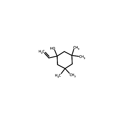 C=CC1(O)CC(C)(C)CC(C)(C)C1